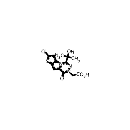 CC(C)(O)c1nn(CC(=O)O)c(=O)c2cc3sc(Cl)cc3n12